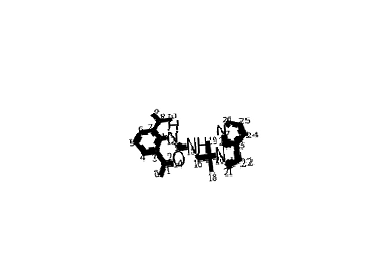 CC(C)c1cccc(C(C)C)c1NC(=O)NCC(C)(C)n1ccc2cccnc21